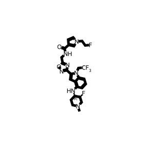 CN1CC[C@@H](Nc2cccc3c2cc(-c2noc(CNC(=O)c4ccn(CCF)c4)n2)n3CC(F)(F)F)[C@@H](F)C1